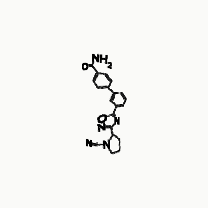 N#CN1CCCC1c1noc(-c2cccc(-c3ccc(C(N)=O)cc3)c2)n1